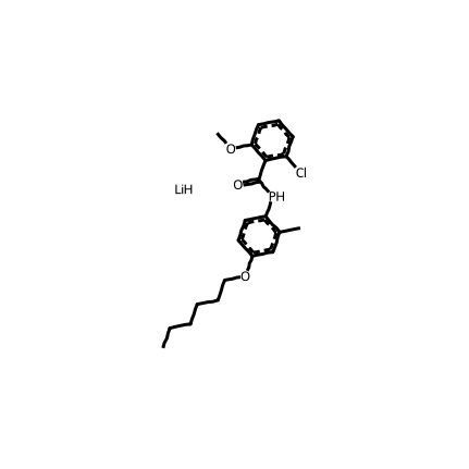 CCCCCCOc1ccc(PC(=O)c2c(Cl)cccc2OC)c(C)c1.[LiH]